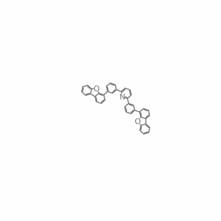 c1cc(-c2cccc(-c3cccc(-c4cccc5c4oc4ccccc45)c3)n2)cc(-c2cccc3c2oc2ccccc23)c1